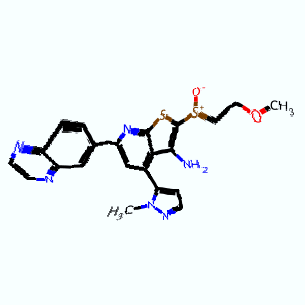 COCC[S+]([O-])c1sc2nc(-c3ccc4nccnc4c3)cc(-c3ccnn3C)c2c1N